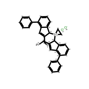 CC(C)CC1=Cc2c(-c3ccccc3)cccc2[CH]1[Ti+2]1([CH]2C(CC(C)C)=Cc3c(-c4ccccc4)cccc32)[CH2][CH2]1.[Cl-].[Cl-]